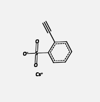 C#Cc1ccccc1S(=O)(=O)[O-].[Cs+]